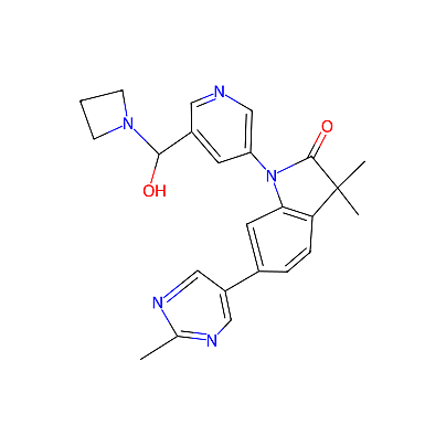 Cc1ncc(-c2ccc3c(c2)N(c2cncc(C(O)N4CCC4)c2)C(=O)C3(C)C)cn1